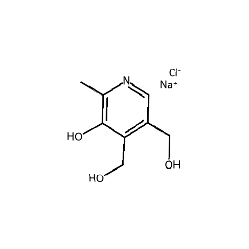 Cc1ncc(CO)c(CO)c1O.[Cl-].[Na+]